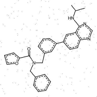 CC(C)Nc1ncnc2ccc(-c3cccc(CN(Cc4ccccc4)C(=O)c4ccco4)c3)cc12